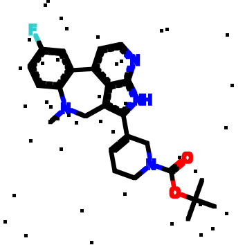 CN1Cc2c(C3=CCCN(C(=O)OC(C)(C)C)C3)[nH]c3nccc(c23)-c2cc(F)ccc21